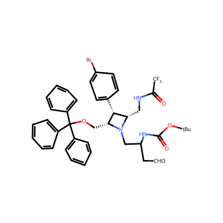 CC(C)(C)OC(=O)NC(CC=O)CN1[C@H](COC(c2ccccc2)(c2ccccc2)c2ccccc2)[C@H](c2ccc(Br)cc2)[C@@H]1CNC(=O)C(F)(F)F